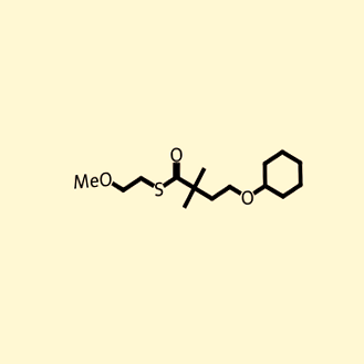 COCCSC(=O)C(C)(C)CCOC1CCCCC1